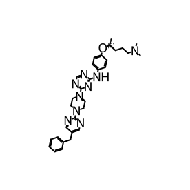 C[C@@H](CCCN(C)C)Oc1ccc(Nc2ncnc(N3CCN(c4ncc(Cc5ccccc5)cn4)CC3)n2)cc1